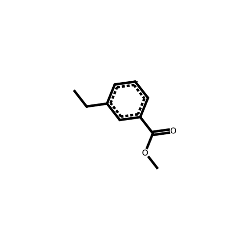 CCc1c[c]cc(C(=O)OC)c1